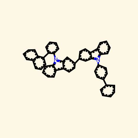 c1ccc(-c2ccc(-n3c4ccccc4c4ccc(-c5ccc6c7ccccc7n(-c7ccccc7-c7cccc8ccccc78)c6c5)cc43)cc2)cc1